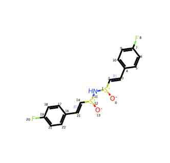 [O-][S+](/C=C/c1ccc(F)cc1)N[S+]([O-])/C=C/c1ccc(F)cc1